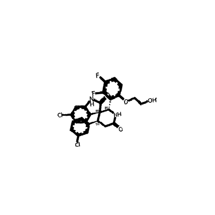 O=C1C[C@@H](c2cccc(Cl)c2)[C@]2(C(=O)Nc3cc(Cl)ccc32)[C@H](c2c(OCCO)ccc(F)c2F)N1